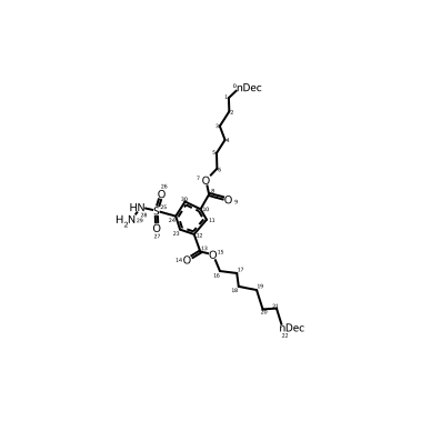 CCCCCCCCCCCCCCCCOC(=O)c1cc(C(=O)OCCCCCCCCCCCCCCCC)cc(S(=O)(=O)NN)c1